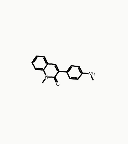 CNc1ccc(-c2cc3ccccc3n(C)c2=O)cc1